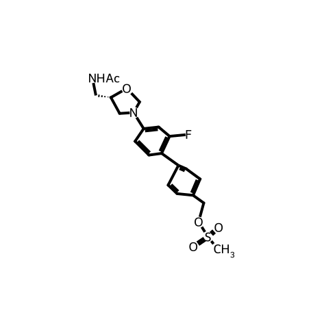 CC(=O)NC[C@H]1CN(c2ccc(-c3ccc(COS(C)(=O)=O)cc3)c(F)c2)CO1